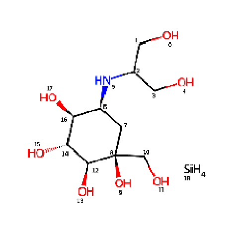 OCC(CO)N[C@H]1C[C@](O)(CO)[C@@H](O)[C@H](O)[C@H]1O.[SiH4]